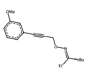 CCCCC(CC)=NOCC#Cc1cccc(OC)c1